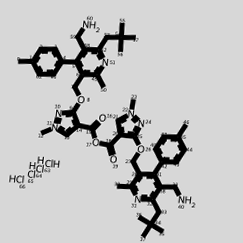 Cc1ccc(-c2c(COc3nn(C)cc3C(=O)OC(=O)c3cn(C)nc3OCc3c(C)nc(CC(C)(C)C)c(CN)c3-c3ccc(C)cc3)c(C)nc(CC(C)(C)C)c2CN)cc1.Cl.Cl.Cl.Cl